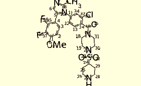 COc1ccc(-c2cnc(C)n2-c2ccc(C(=O)N3CCN(S(=O)(=O)C4CCNCC4)CC3)c(Cl)c2)c(F)c1F